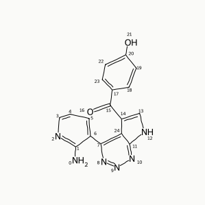 Nc1ncccc1-c1nnnc2[nH]cc(C(=O)c3ccc(O)cc3)c12